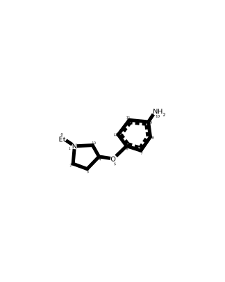 CCN1CCC(Oc2ccc(N)cc2)C1